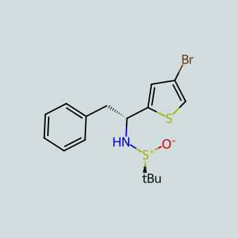 CC(C)(C)[S@+]([O-])N[C@H](Cc1ccccc1)c1cc(Br)cs1